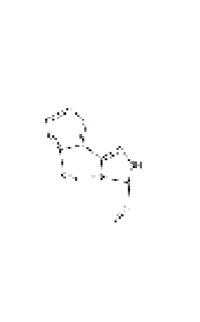 Cc1ccccc1C1=CNC(C=S)N1